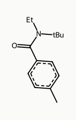 CCN(C(=O)c1ccc(C)cc1)C(C)(C)C